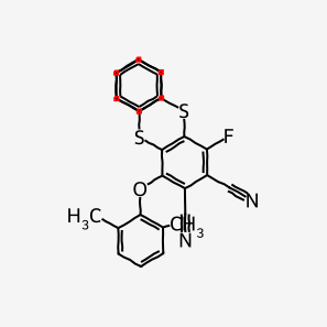 Cc1cccc(C)c1Oc1c(C#N)c(C#N)c(F)c(Sc2ccccc2)c1Sc1ccccc1